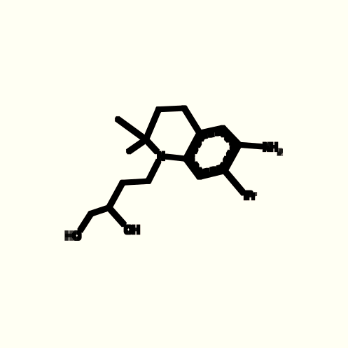 CC(C)c1cc2c(cc1N)CCC(C)(C)N2CCC(O)CO